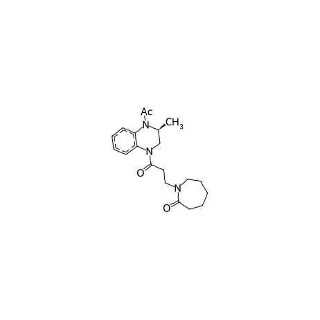 CC(=O)N1c2ccccc2N(C(=O)CCN2CCCCCC2=O)C[C@@H]1C